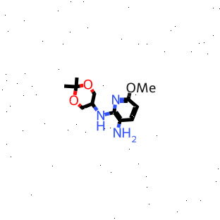 COc1ccc(N)c(NC2COC(C)(C)OC2)n1